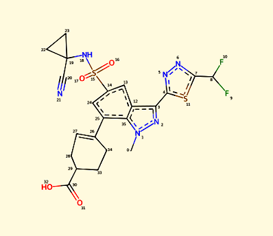 Cn1nc(-c2nnc(C(F)F)s2)c2cc(S(=O)(=O)NC3(C#N)CC3)cc(C3=CCC(C(=O)O)CC3)c21